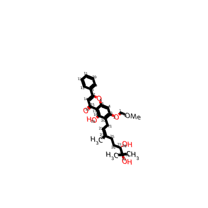 COCOc1cc2oc(-c3ccccc3)cc(=O)c2c(O)c1C/C=C(/C)CC[C@H](O)C(C)(C)O